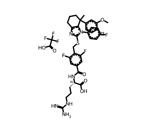 COc1cc(C2(C)CCCc3nc(SCc4c(F)cc(C(=O)N[C@@H](CCCNC(=N)N)C(=O)O)cc4F)n(-c4ccc(F)cc4)c32)ccc1Cl.O=C(O)C(F)(F)F